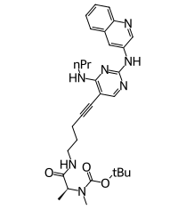 CCCNc1nc(Nc2cnc3ccccc3c2)ncc1C#CCCCNC(=O)[C@H](C)N(C)C(=O)OC(C)(C)C